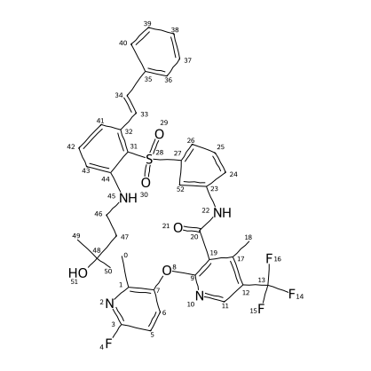 Cc1nc(F)ccc1Oc1ncc(C(F)(F)F)c(C)c1C(=O)Nc1cccc(S(=O)(=O)c2c(C=Cc3ccccc3)cccc2NCCC(C)(C)O)c1